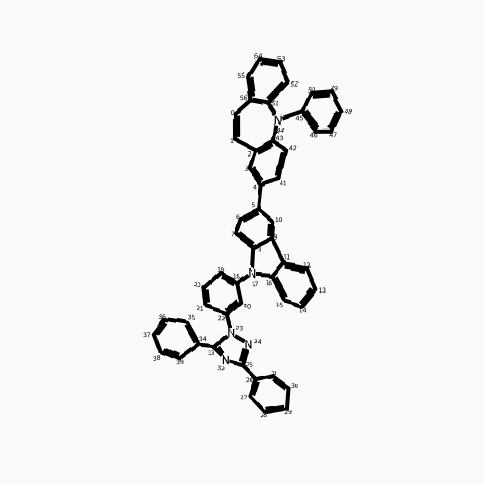 C1=Cc2cc(-c3ccc4c(c3)c3ccccc3n4-c3cccc(-n4nc(-c5ccccc5)nc4-c4ccccc4)c3)ccc2N(c2ccccc2)c2ccccc21